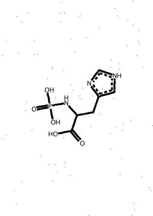 O=C(O)C(Cc1c[nH]cn1)NP(=O)(O)O